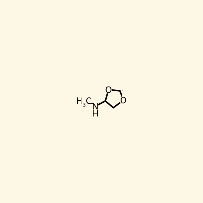 CNC1CO[CH]O1